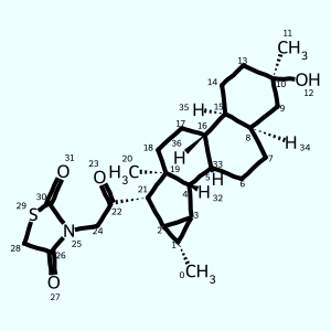 C[C@@H]1C2C1[C@H]1[C@@H]3CC[C@@H]4C[C@](C)(O)CC[C@@H]4[C@H]3CC[C@]1(C)[C@H]2C(=O)CN1C(=O)CSC1=O